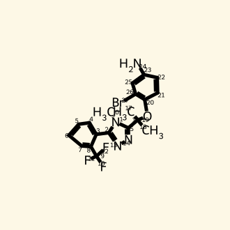 Cn1c(-c2ccccc2C(F)(F)F)nnc1C(C)(C)Oc1ccc(N)cc1Br